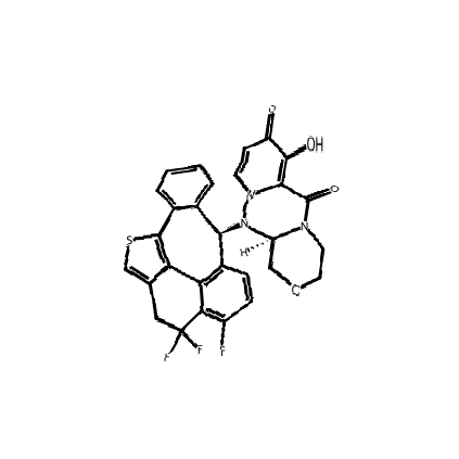 O=C1c2c(O)c(=O)ccn2N([C@@H]2c3ccccc3-c3scc4c3-c3c2ccc(F)c3C(F)(F)C4)[C@@H]2COCCN12